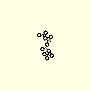 c1ccc(N(c2ccc(-c3nc4ccccc4c4c3ccc3c4c4ccccc4n3-c3ccccc3)cc2)c2ccc3c(c2)C(c2ccccc2)(c2ccccc2)c2ccccc2-3)cc1